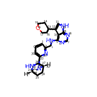 c1cc(CNc2ncnc3[nH]cc(C4CCOCC4)c23)nc(N2C[C@@H]3CC[C@H]2CN3)c1